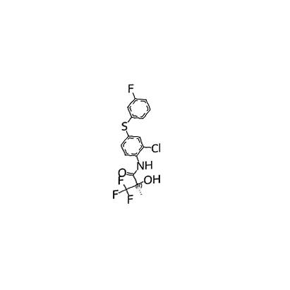 C[C@@](O)(C(=O)Nc1ccc(Sc2cccc(F)c2)cc1Cl)C(F)(F)F